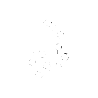 c1ccc(-c2nc(-c3cccc(-c4cccc5c4sc4ccc(-c6cccc(-c7nc8ccccc8o7)c6)cc45)c3)nc(-c3cccc4oc5ccccc5c34)n2)cc1